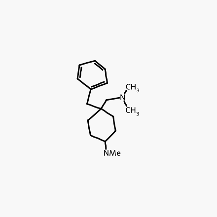 CNC1CCC(Cc2ccccc2)(CN(C)C)CC1